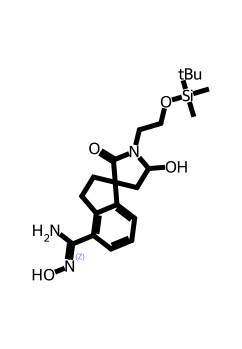 CC(C)(C)[Si](C)(C)OCCN1C(=O)C2(CCc3c(/C(N)=N/O)cccc32)CC1O